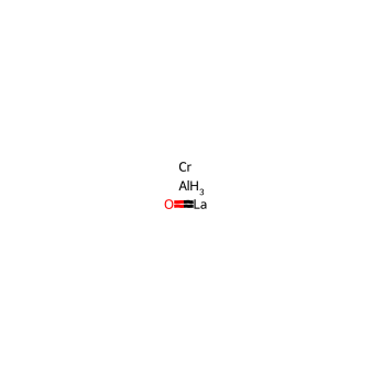 [AlH3].[Cr].[O]=[La]